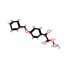 COC(=O)C(=O)c1ccc(OCc2ccccc2)cc1